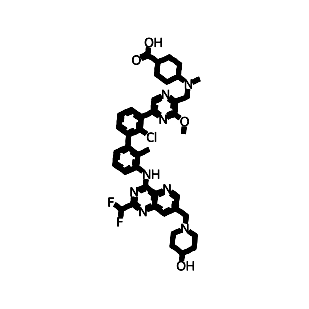 COc1nc(-c2cccc(-c3cccc(Nc4nc(C(F)F)nc5cc(CN6CCC(O)CC6)cnc45)c3C)c2Cl)cnc1CN(C)C1CCC(C(=O)O)CC1